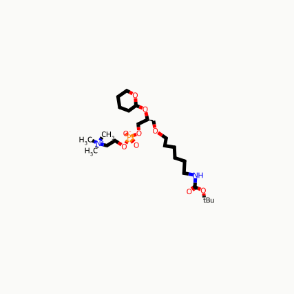 CC(C)(C)OC(=O)NCCCCCCOC[C@H](COP(=O)([O-])OCC[N+](C)(C)C)OC1CCCCO1